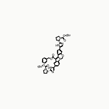 CC(C)(C)OC(=O)N1CCC[C@H]1c1ncc(-c2ccc3c(c2)OCn2c-3c(C(=O)OCc3ccccc3)c3cc(-c4cnc([C@@H]5CCCN5C(=O)OC(C)(C)C)[nH]4)ccc32)[nH]1